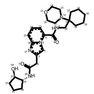 O=C(Cc1cn2c(C(=O)NCC3(N4CCOCC4)CCCCC3)cccc2n1)N[C@@H]1CCC[C@H]1O